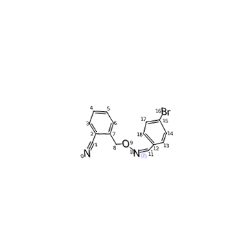 N#Cc1ccccc1CO/N=[C]\c1ccc(Br)cc1